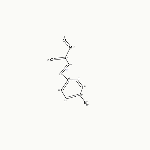 O=NC(=O)/C=C/c1ccc(Br)cc1